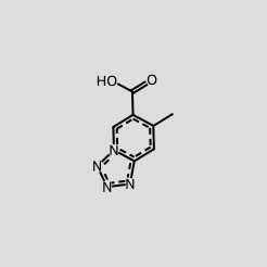 Cc1cc2nnnn2cc1C(=O)O